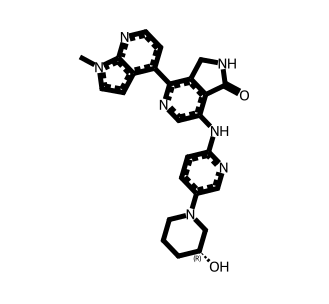 Cn1ccc2c(-c3ncc(Nc4ccc(N5CCC[C@@H](O)C5)cn4)c4c3CNC4=O)ccnc21